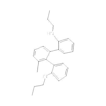 [CH2]c1cccc(-c2ccccc2NCCC)c1-c1ccccc1NCCC